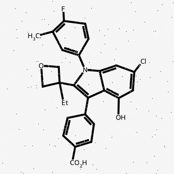 CCC1(c2c(-c3ccc(C(=O)O)cc3)c3c(O)cc(Cl)cc3n2-c2ccc(F)c(C)c2)COC1